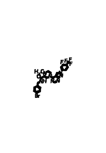 CN1CCN(c2ncnc3nn(-c4ccc(C(F)(F)F)c(F)c4)cc23)CC1C(=O)NCc1ccc(Br)cc1